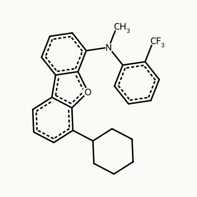 CN(c1ccccc1C(F)(F)F)c1cccc2c1oc1c(C3CCCCC3)cccc12